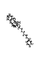 O=c1[nH]c(OCCCCCCCCc2ccccc2)ncc1Cc1cccnc1